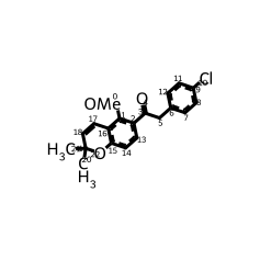 COc1c(C(=O)Cc2ccc(Cl)cc2)ccc2c1C=CC(C)(C)O2